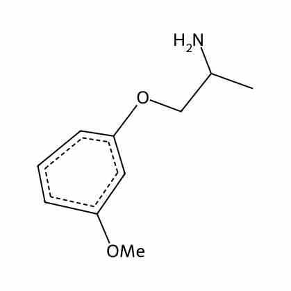 COc1cccc(OCC(C)N)c1